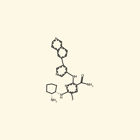 NC(=O)c1cc(F)c(N[C@H]2CCCC[C@H]2N)nc1Nc1cncc(-c2ccc3cnccc3c2)c1